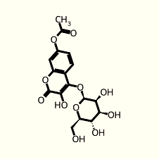 CC(=O)Oc1ccc2c(O[C@@H]3O[C@H](CO)[C@@H](O)[C@H](O)[C@@H]3O)c(O)c(=O)oc2c1